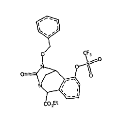 CCOC(=O)C1c2cccc(OS(=O)(=O)C(F)(F)F)c2C2CN1C(=O)N2OCc1ccccc1